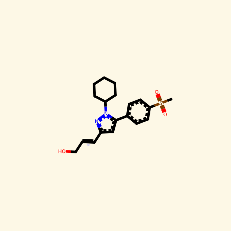 CS(=O)(=O)c1ccc(-c2cc(/C=C/CO)nn2C2CCCCC2)cc1